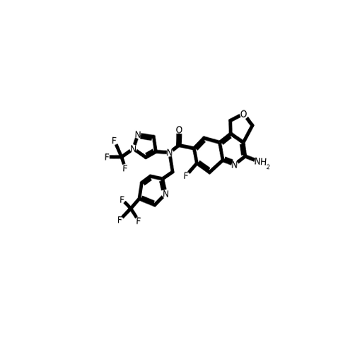 Nc1nc2cc(F)c(C(=O)N(Cc3ccc(C(F)(F)F)cn3)c3cnn(C(F)(F)F)c3)cc2c2c1COC2